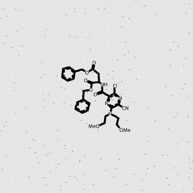 COCCN(CCOC)c1nc(C(=O)NC(CC(=O)OCc2ccccc2)C(=O)OCc2ccccc2)c(Cl)nc1C#N